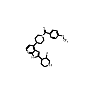 O=C(c1ccc(OC(F)(F)F)cc1)N1CCC(c2ccnc3[nH]c(C4CCNCC4F)nc23)CC1